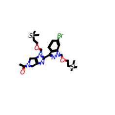 CC(=O)N1Cc2nc(-c3nn(COCC[Si](C)(C)C)c4cc(Br)ccc34)n(COCC[Si](C)(C)C)c2C1